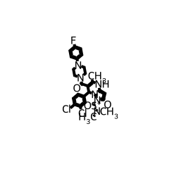 CC1=C(C(=O)N2CCN(c3ccc(F)cc3)CC2)C(c2ccc(Cl)c(Cl)c2)n2c(cc(=O)n2[S+]([O-])N(C)C)N1